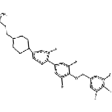 CCCCC1CCC(c2ccc(-c3cc(F)c(OCc4cc(F)c(F)c(F)c4)c(F)c3)c(F)c2)CC1